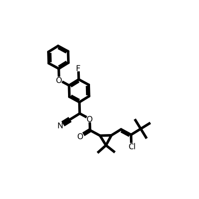 CC(C)(C)C(Cl)=CC1C(C(=O)OC(C#N)c2ccc(F)c(Oc3ccccc3)c2)C1(C)C